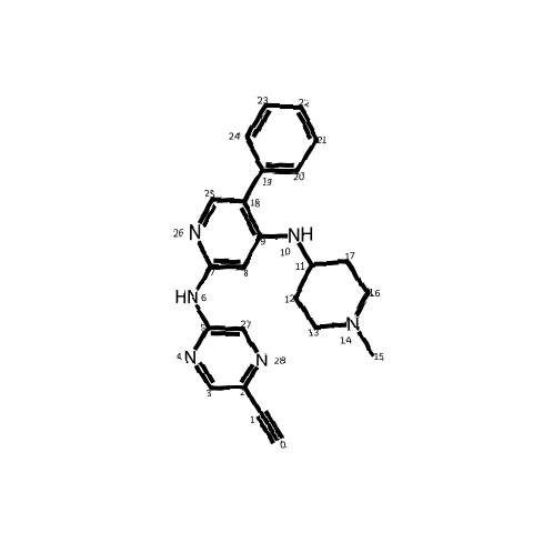 C#Cc1cnc(Nc2cc(NC3CCN(C)CC3)c(-c3ccccc3)cn2)cn1